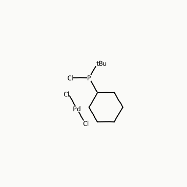 CC(C)(C)P(Cl)C1CCCCC1.[Cl][Pd][Cl]